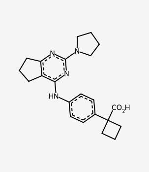 O=C(O)C1(c2ccc(Nc3nc(N4CCCC4)nc4c3CCC4)cc2)CCC1